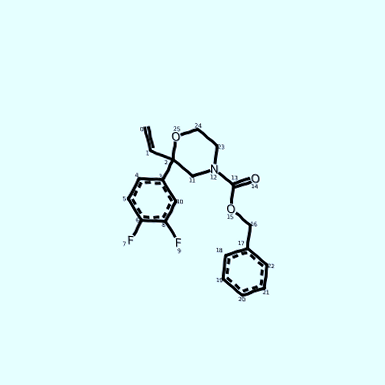 C=CC1(c2ccc(F)c(F)c2)CN(C(=O)OCc2ccccc2)CCO1